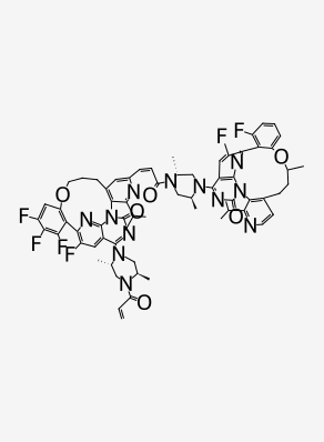 C=CC(=O)N1C[C@H](C)N(c2nc(=O)n3c4nc(c(F)cc24)-c2c(cc(F)c(F)c2F)OCCCc2cc(/C=C\C(=O)N4C[C@H](C)N(c5nc(=O)n6c7nc(c(F)cc57)-c5c(F)cccc5OC(C)CCc5ccnc(C(C)C)c5-6)C[C@H]4C)nc(C(C)C)c2-3)C[C@H]1C